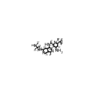 Cc1nnc(NC(C)c2cc(N)cc(C(F)(F)F)n2)c2cc(N3CC(C)(N(C)C)C3)ncc12